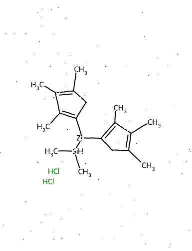 CC1=C(C)C(C)=[C]([Zr]([C]2=C(C)C(C)=C(C)C2)[SiH](C)C)C1.Cl.Cl